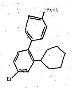 CCCCCc1ccc(-c2ccc(CC)cc2C2CCCCC2)cc1